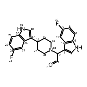 O=CC(c1c[nH]c2ccc(F)cc12)N1CCC(c2c[nH]c3ccc(F)cc23)CC1